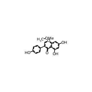 COC.O=c1c(-c2ccc(O)cc2)coc2cc(O)cc(O)c12